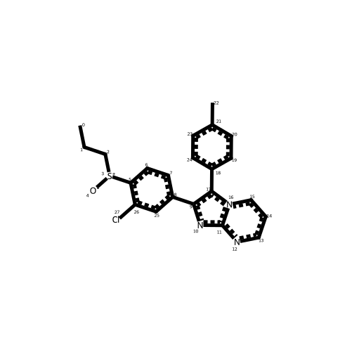 CCC[S+]([O-])c1ccc(-c2nc3ncccn3c2-c2ccc(C)cc2)cc1Cl